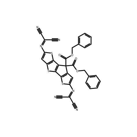 N#CC(C#N)=Nc1cc2c(s1)-c1sc3cc(N=C(C#N)C#N)sc3c1C2(C(=O)OCc1ccccc1)C(=O)OCc1ccccc1